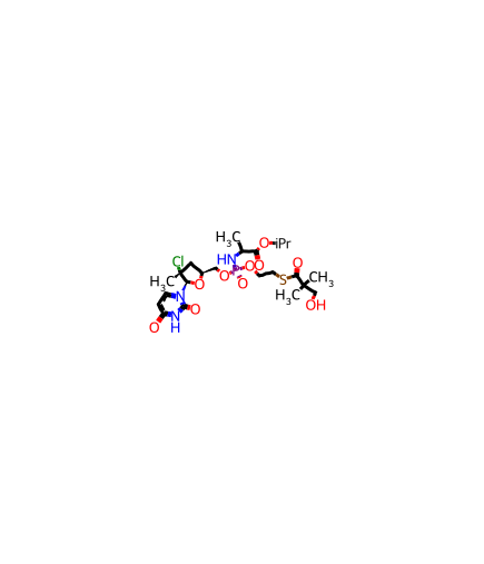 CC(C)OC(=O)C(C)NP(=O)(OCCSC(=O)C(C)(C)CO)OC[C@@H]1C[C@@](C)(Cl)[C@H](n2ccc(=O)[nH]c2=O)O1